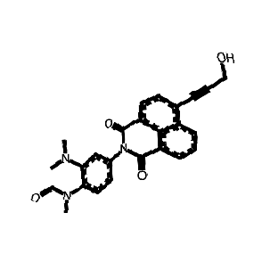 CN(C)c1cc(N2C(=O)c3cccc4c(C#CCO)ccc(c34)C2=O)ccc1N(C)C=O